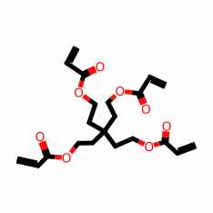 C=CC(=O)OCCC(CCOC(=O)C=C)(CCOC(=O)C=C)CCOC(=O)C=C